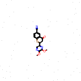 COc1ncc(C2CC(=O)c3cc(C#N)ccc3S2)nc1OC